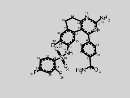 NC(=O)c1ccc(-c2nc(N)nc3c2-c2cc(NS(=O)(=O)c4ccc(F)cc4F)c(Cl)cc2CC3)cc1